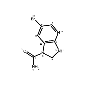 NC(=O)N1[CH]Nc2ncc(Br)cc21